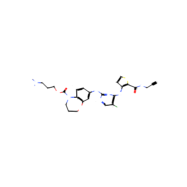 C#CCNC(=O)c1sccc1Nc1nc(Nc2ccc3c(c2)OCCCN3C(=O)OCCCN(C)C)ncc1Cl